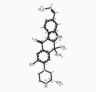 CCc1cc2c(cc1N1CCN[C@@H](C)C1)C(C)(C)c1[nH]c3cc(/C=N\C)ccc3c1C2=O